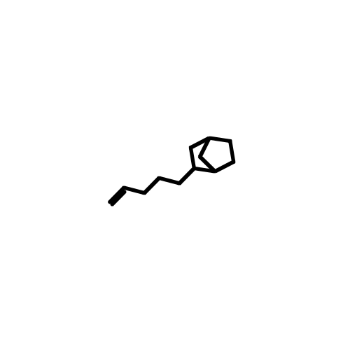 C=CCCCC1CC2CCC1C2